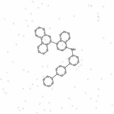 c1ccc(-c2ccc(-c3cccc(Nc4ccc(-c5cc6ccccc6c6ccccc56)c5ccccc45)c3)cc2)cc1